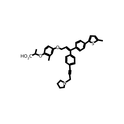 Cc1ccc(-c2ccc(C(=CCOc3ccc(OC(C)C(=O)O)c(C)c3)c3ccc(C#CCN4CCCC4)cc3)cc2)s1